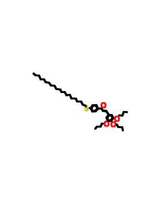 CCCCCCCCCCCCCCCCCCCCCSc1ccc(C(=O)C=Cc2cc(OCCCC)c(OCCCC)c(OCCCC)c2)cc1